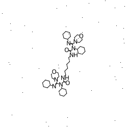 O=C(NCCCCCCNC(=O)N(C(=NC1CCCCC1)N1CCOCC1)C1CCCCC1)N(C(=NC1CCCCC1)N1CCOCC1)C1CCCCC1